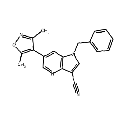 Cc1noc(C)c1-c1cnc2c(C#N)cn(Cc3ccccc3)c2c1